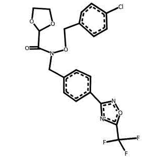 O=C(C1OCCO1)N(Cc1ccc(-c2noc(C(F)(F)F)n2)cc1)OCc1ccc(Cl)cc1